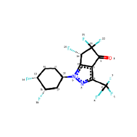 O=C1c2c(C(F)(F)F)nn([C@@H]3CC[C@@H](F)[C@@H](F)C3)c2[C@H](F)C1(F)F